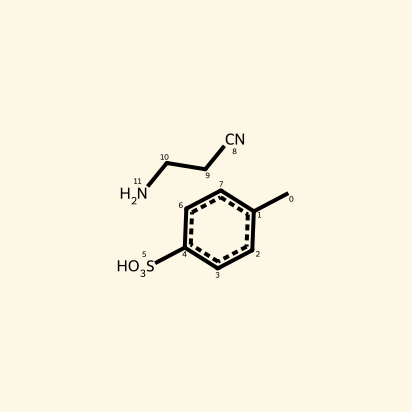 Cc1ccc(S(=O)(=O)O)cc1.N#CCCN